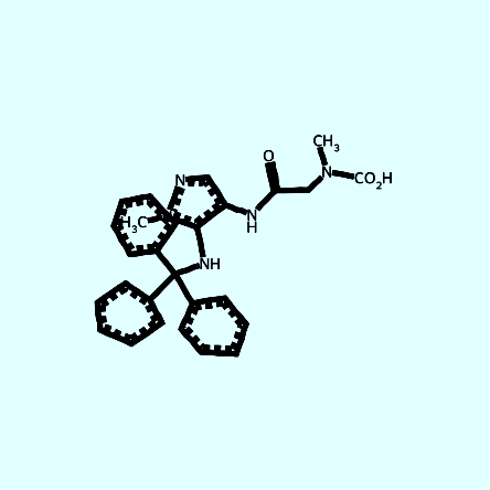 CN(CC(=O)Nc1cnn(C)c1NC(c1ccccc1)(c1ccccc1)c1ccccc1)C(=O)O